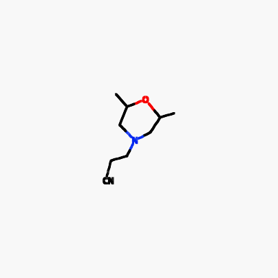 CC1CN(CCC#N)CC(C)O1